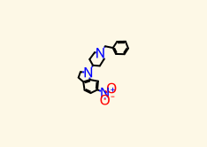 O=[N+]([O-])c1ccc2c(c1)N(C1CCN(Cc3ccccc3)CC1)CC2